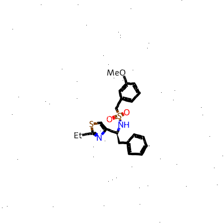 CCc1nc([C@H](Cc2cc[c]cc2)NS(=O)(=O)Cc2cccc(OC)c2)cs1